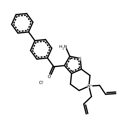 C=CC[N+]1(CC=C)CCc2c(sc(N)c2C(=O)c2ccc(-c3ccccc3)cc2)C1.[Cl-]